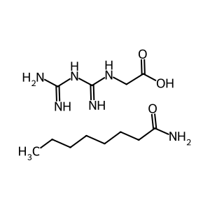 CCCCCCCC(N)=O.N=C(N)NC(=N)NCC(=O)O